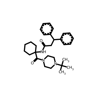 CC(C)(C)N1CCN(C(=O)C2(NC(=O)CC(c3ccccc3)c3ccccc3)CCCCC2)CC1